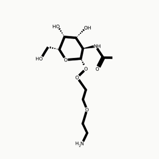 CC(=O)N[C@H]1[C@H](OOCCOCCN)O[C@H](CO)[C@H](O)[C@@H]1O